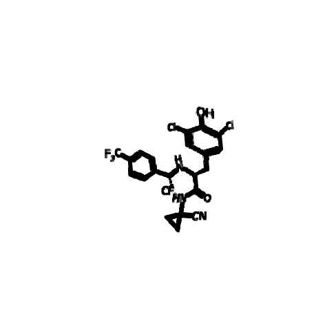 N#CC1(NC(=O)[C@H](Cc2cc(Cl)c(O)c(Cl)c2)N[C@@H](c2ccc(C(F)(F)F)cc2)C(F)(F)F)CC1